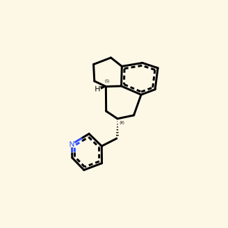 c1cncc(C[C@H]2Cc3cccc4c3[C@@H](CCC4)C2)c1